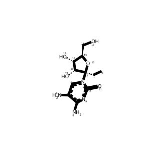 CC[C@@]1(n2cc(N)c(N)nc2=O)O[C@H](CO)[C@@H](O)[C@H]1O